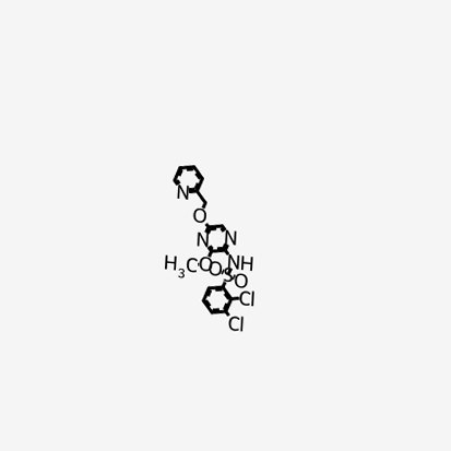 COc1nc(OCc2ccccn2)cnc1NS(=O)(=O)c1cccc(Cl)c1Cl